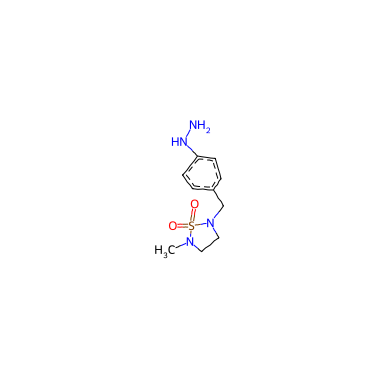 CN1CCN(Cc2ccc(NN)cc2)S1(=O)=O